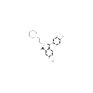 O=c1c2cc3c(cc2c(-c2ccc4c(c2)OOC4)nn1CCN1CCCCC1)OCO3